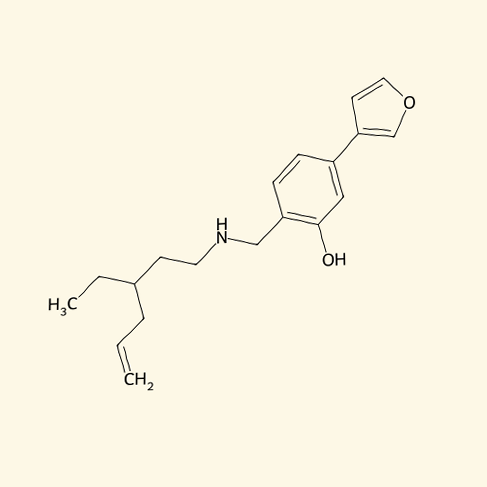 C=CCC(CC)CCNCc1ccc(-c2ccoc2)cc1O